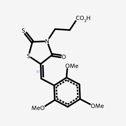 COc1cc(OC)c(/C=C2/SC(=S)N(CCC(=O)O)C2=O)c(OC)c1